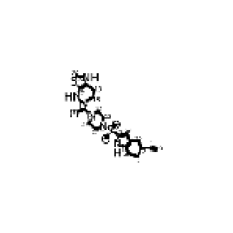 C#Cc1ccc2[nH]c(S(=O)(=O)N3CCN(C(=O)N4CCC5=C(N4)SCN5)CC3)cc2c1